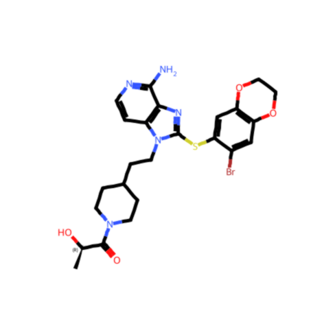 C[C@@H](O)C(=O)N1CCC(CCn2c(Sc3cc4c(cc3Br)OCCO4)nc3c(N)nccc32)CC1